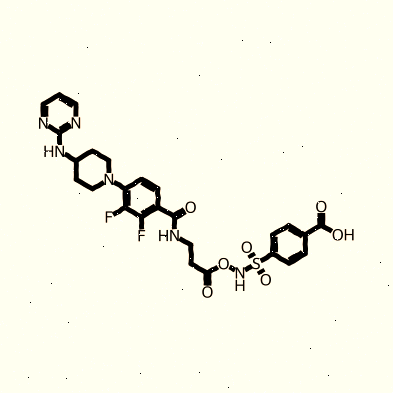 O=C(CCNC(=O)c1ccc(N2CCC(Nc3ncccn3)CC2)c(F)c1F)ONS(=O)(=O)c1ccc(C(=O)O)cc1